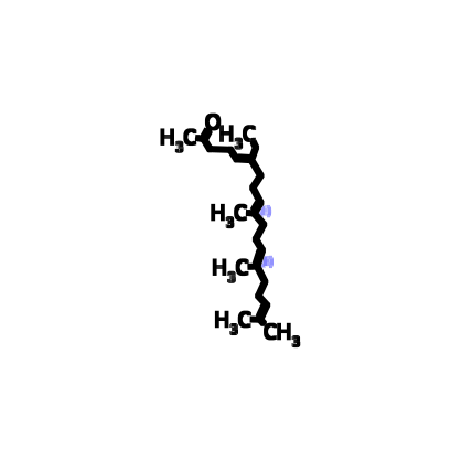 CCC(=CCCC(C)=O)CC/C=C(\C)CC/C=C(\C)CCC=C(C)C